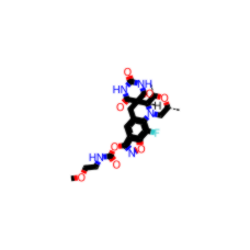 COCCNC(=O)Oc1noc2c(F)c3c(cc12)CC1(C(=O)NC(=O)NC1=O)[C@H]1[C@H](C)O[C@H](C)CN31